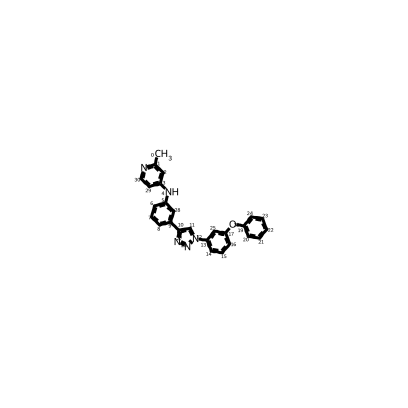 Cc1cc(Nc2cccc(-c3cn(-c4cccc(Oc5ccccc5)c4)nn3)c2)ccn1